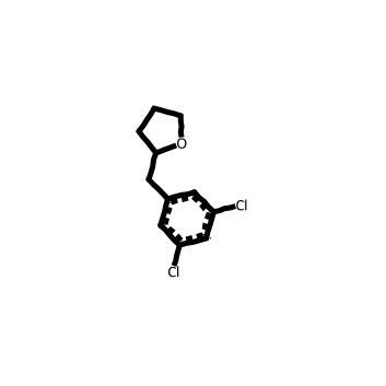 Clc1[c]c(Cl)cc(CC2CCCO2)c1